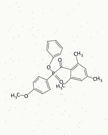 COc1ccc(P(=O)(Oc2ccccc2)C(=O)c2c(C)cc(C)cc2C)cc1